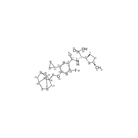 C[C@@H]1CC[C@H]([C@H](NC(=O)c2cc(C3CC3)c(OCC34CC5CC(CC(C5)C3)C4)cc2F)C(=O)O)C1